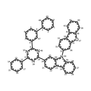 c1ccc(-c2cccc(-c3nc(-c4ccccc4)nc(-c4ccc5c6ccccc6n(-c6ccc7c(c6)oc6ccccc67)c5c4)n3)c2)cc1